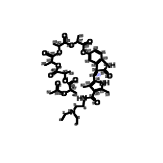 CCN(CC)CCNC(=O)c1c(C)[nH]c(/C=C2\C(=O)Nc3ccc(OC(=O)C(C)OC(=O)C(C)OC(=O)C(C)OC(=O)C(C)OC(=O)C(C)OC(C)=O)cc32)c1C